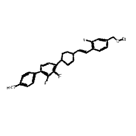 CCOCc1ccc(/C=C/C2CCC(c3ccc(-c4ccc(O)cc4)c(F)c3F)CC2)c(F)c1